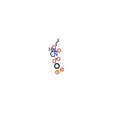 CCCCON1C(=O)N2C[C@H]1CC[C@H]2C(=O)Oc1ccc(S(C)(=O)=O)cc1